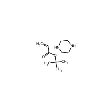 C1CNCCN1.C=CC(=O)OC(C)(C)C